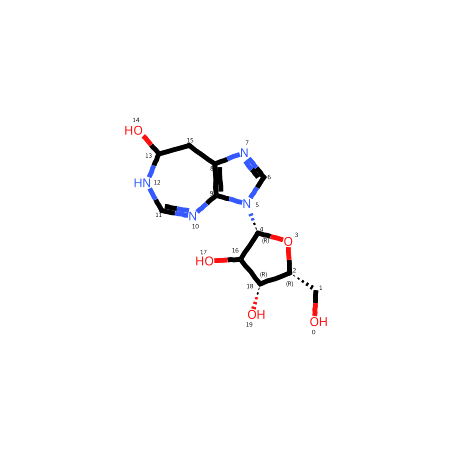 OC[C@H]1O[C@@H](n2cnc3c2N=CNC(O)C3)C(O)[C@H]1O